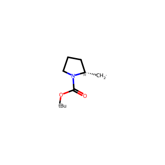 [CH2][C@H]1CCCN1C(=O)OC(C)(C)C